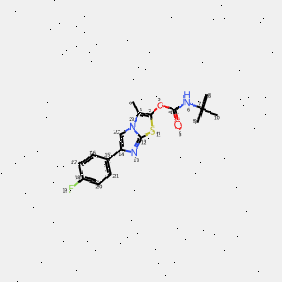 Cc1c(OC(=O)NC(C)(C)C)sc2nc(-c3ccc(F)cc3)cn12